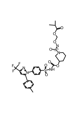 Cc1ccc(-c2cc(C(F)(F)F)nn2-c2ccc(S(=O)(=O)NC(=O)OC3CCCN([N+]([O-])=NOCOC(=O)C(C)C)C3)cc2)cc1